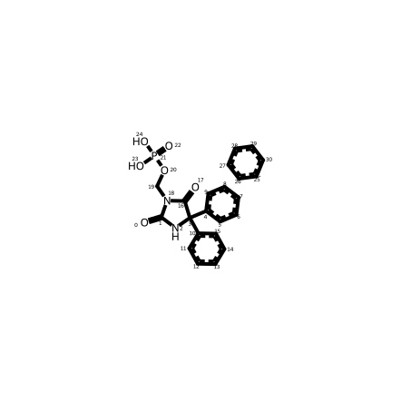 O=C1NC(c2ccccc2)(c2ccccc2)C(=O)N1COP(=O)(O)O.[c]1ccccc1